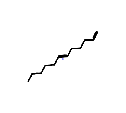 C=CCCC/C=C/CCCCC